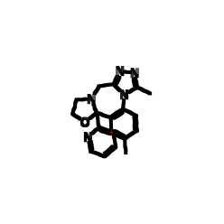 Cc1ccc2c(c1)C1(c3ccccn3)OCCN1Cc1nnc(C)n1-2